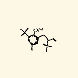 CCC(Cc1cc(C)cc(C(C)(C)C)c1O)C(C)(C)C